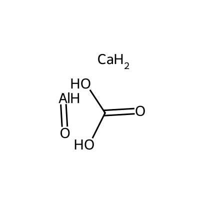 O=C(O)O.[CaH2].[O]=[AlH]